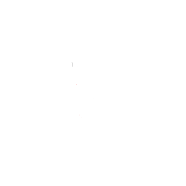 CCO[C]1CCCCO1